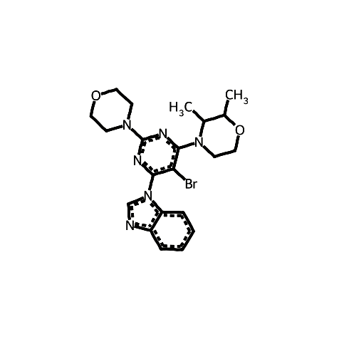 CC1OCCN(c2nc(N3CCOCC3)nc(-n3cnc4ccccc43)c2Br)C1C